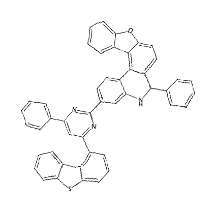 c1ccc(-c2cc(-c3cccc4sc5ccccc5c34)nc(-c3ccc4c(c3)NC(c3ccccc3)c3ccc5oc6ccccc6c5c3-4)n2)cc1